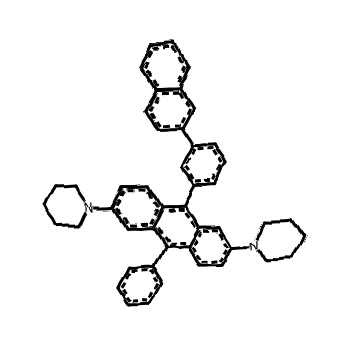 c1ccc(-c2c3ccc(N4CCCCC4)cc3c(-c3cccc(-c4ccc5ccccc5c4)c3)c3ccc(N4CCCCC4)cc23)cc1